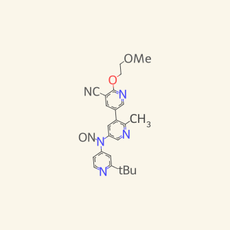 COCCOc1ncc(-c2cc(N(N=O)c3ccnc(C(C)(C)C)c3)cnc2C)cc1C#N